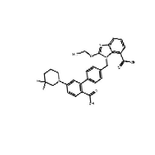 CCOc1nc2cccc(C(=O)O)c2n1Cc1ccc(-c2cc(N3CCCC(F)(F)C3)ccc2C(=O)O)cc1